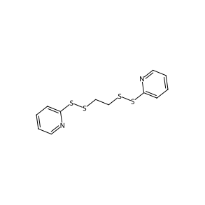 c1ccc(SSCCSSc2ccccn2)nc1